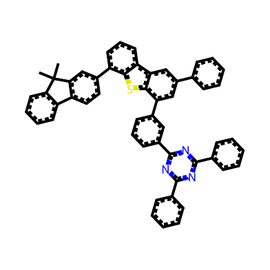 CC1(C)c2ccccc2-c2ccc(-c3cccc4c3sc3c(-c5cccc(-c6nc(-c7ccccc7)nc(-c7ccccc7)n6)c5)cc(-c5ccccc5)cc34)cc21